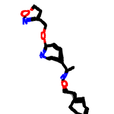 C/C(=N\OCc1ccc(C)cc1)c1ccc(OCC2=NOCC2)nc1